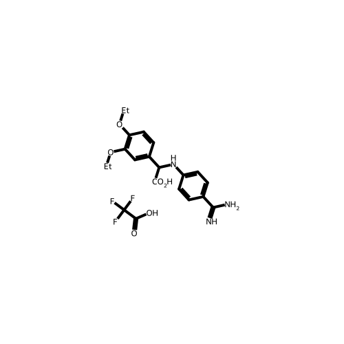 CCOc1ccc(C(Nc2ccc(C(=N)N)cc2)C(=O)O)cc1OCC.O=C(O)C(F)(F)F